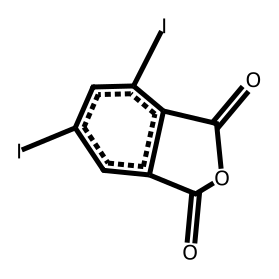 O=C1OC(=O)c2c(I)cc(I)cc21